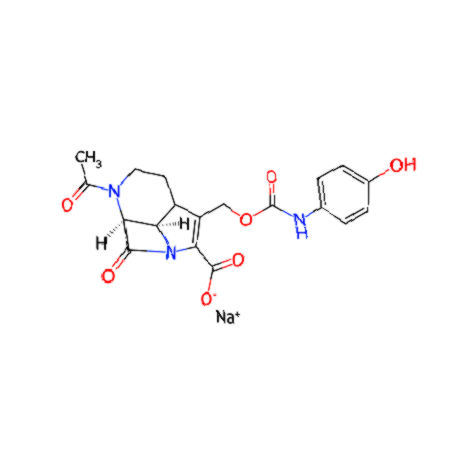 CC(=O)N1CCC2C(COC(=O)Nc3ccc(O)cc3)=C(C(=O)[O-])N3C(=O)[C@@H]1[C@@H]23.[Na+]